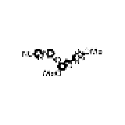 COc1cc(OC[C@@H]2CCCN(c3ccc(C#N)cn3)C2)c2cc(-c3cn4nc(OC)sc4n3)oc2c1